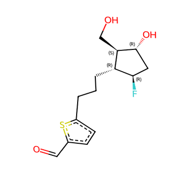 O=Cc1ccc(CCC[C@@H]2[C@@H](CO)[C@H](O)C[C@H]2F)s1